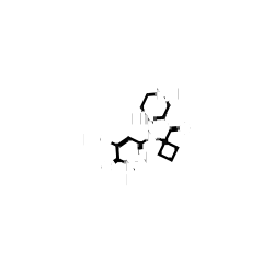 O=C([C@H]1CNCCN1)C1(Nc2cc(C(F)(F)F)c(=O)[nH]n2)CCC1